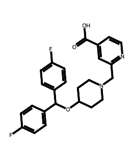 O=C(O)c1ccnc(CN2CCC(OC(c3ccc(F)cc3)c3ccc(F)cc3)CC2)c1